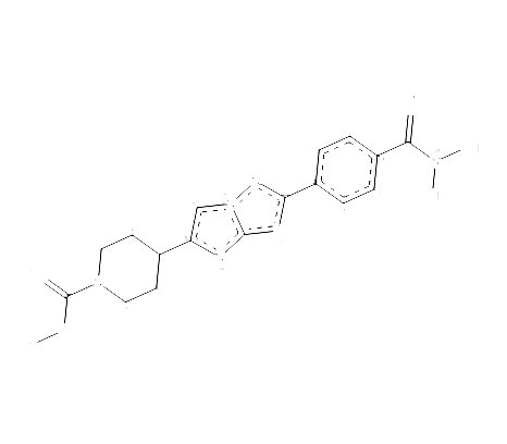 CC(C)OC(=O)N1CCC(c2cn3nc(-c4ccc(C(=O)N(C)C)cc4)sc3n2)CC1